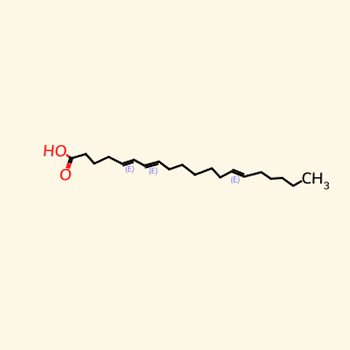 CCCCC/C=C/CCCCC/C=C/C=C/CCCC(=O)O